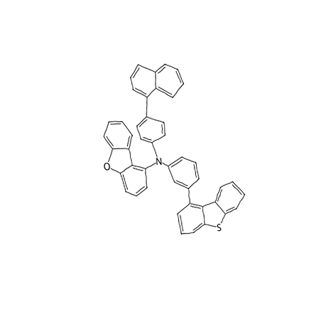 c1cc(-c2cccc3sc4ccccc4c23)cc(N(c2ccc(-c3cccc4ccccc34)cc2)c2cccc3oc4ccccc4c23)c1